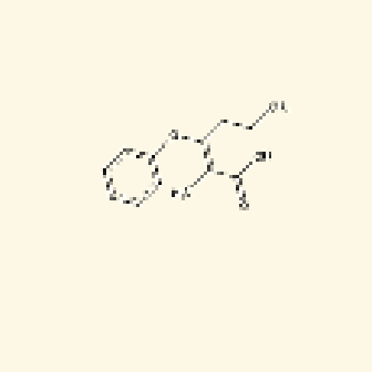 CCCC(Oc1ccccc1)=C(C)C(=O)O